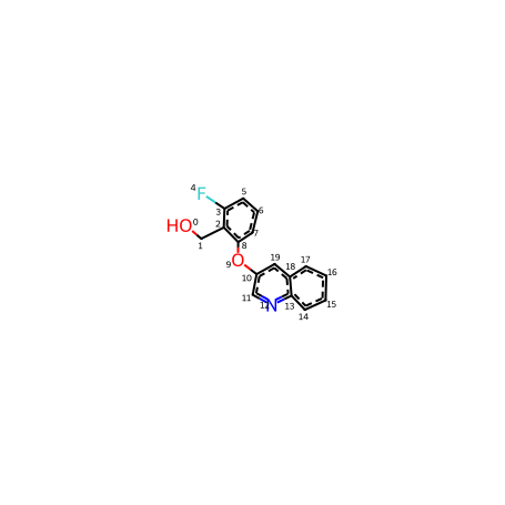 OCc1c(F)cccc1Oc1cnc2ccccc2c1